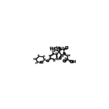 C[C@@]1(c2ccc(O[C@@H]3CCCCO3)cc2)NC(=O)N(CC(=O)O)C1=O